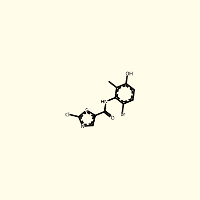 Cc1c(O)ccc(Br)c1NC(=O)c1cnc(Cl)s1